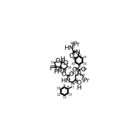 CC(C)CN(C[C@@H](O)[C@H](Cc1ccccc1)NC(=O)O[C@H]1CO[C@H]2OCC(F)(F)[C@H]21)S(=O)(=O)c1ccc2nc(NC(C)C)oc2c1